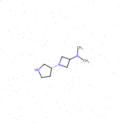 CN(C)C1CN([C@@H]2CCNC2)C1